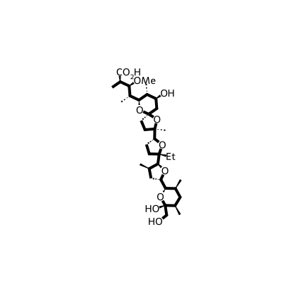 CC[C@@]1([C@H]2O[C@H]([C@H]3O[C@@](O)(CO)[C@H](C)C[C@@H]3C)C[C@H]2C)CC[C@H]([C@@]2(C)CC[C@]3(C[C@H](O)[C@@H](C)[C@@H]([C@H](C)[C@H](OC)[C@@H](C)C(=O)O)O3)O2)O1